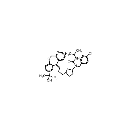 CC(C)NC(=O)N(Cc1ccc(Cl)cc1)C1CCN(CC/C=C2\c3cc(C(C)(C)O)ccc3OCc3ncccc32)C1